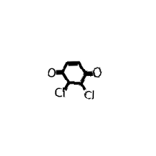 O=C1C=CC(=O)C(Cl)C1Cl